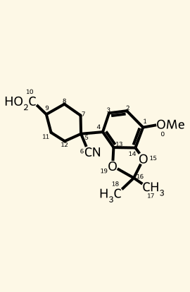 COc1ccc(C2(C#N)CCC(C(=O)O)CC2)c2c1OC(C)(C)O2